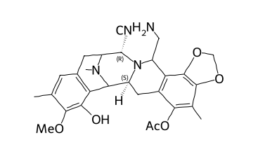 COc1c(C)cc2c(c1O)C1[C@@H]3Cc4c(OC(C)=O)c(C)c5c(c4C(CN)N3[C@@H](C#N)C(C2)N1C)OCO5